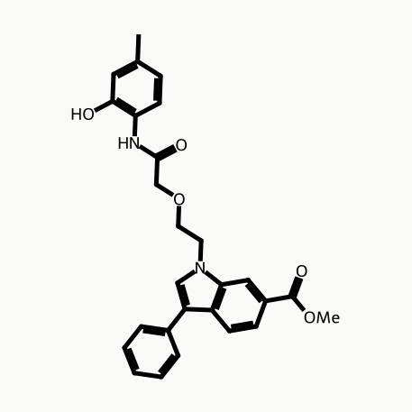 COC(=O)c1ccc2c(-c3ccccc3)cn(CCOCC(=O)Nc3ccc(C)cc3O)c2c1